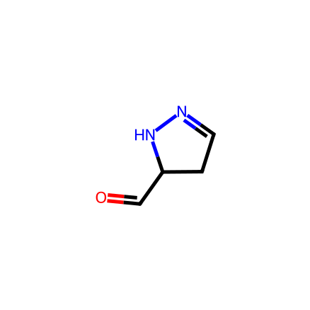 O=CC1CC=NN1